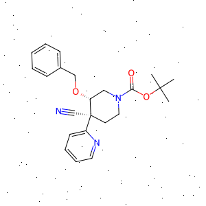 CC(C)(C)OC(=O)N1CC[C@@](C#N)(c2ccccn2)[C@H](OCc2ccccc2)C1